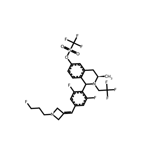 C[C@@H]1Cc2cc(OS(=O)(=O)C(F)(F)F)ccc2C(c2c(F)cc(C=C3CN(CCCF)C3)cc2F)N1CC(F)(F)F